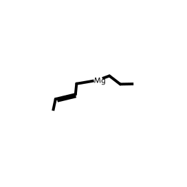 C/C=C/[CH2][Mg][CH2]CC